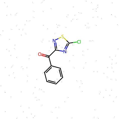 O=C(c1ccccc1)c1nsc(Cl)n1